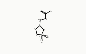 C=C(C)CSC1CCS(=O)(=O)C1